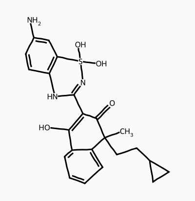 CC1(CCC2CC2)C(=O)C(C2=NS(O)(O)c3cc(N)ccc3N2)=C(O)c2ccccc21